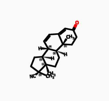 C[C@]12CCC(=O)C=C1C=C[C@@H]1[C@@H]2CC[C@@]2(C)[C@H]1CC[C@]2(C)C#N